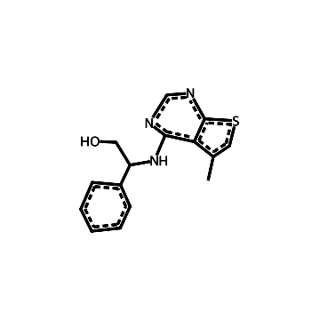 Cc1csc2ncnc(NC(CO)c3ccccc3)c12